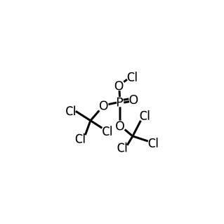 O=P(OCl)(OC(Cl)(Cl)Cl)OC(Cl)(Cl)Cl